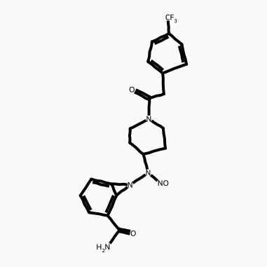 NC(=O)c1cccc2c1N2N(N=O)C1CCN(C(=O)Cc2ccc(C(F)(F)F)cc2)CC1